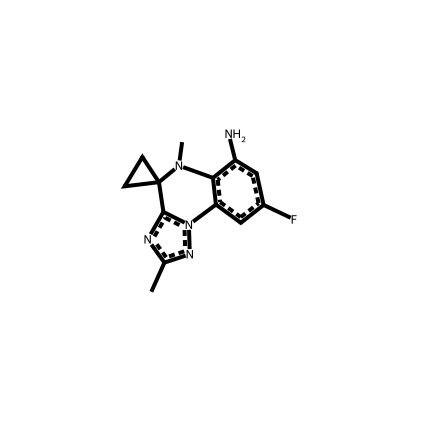 Cc1nc2n(n1)-c1cc(F)cc(N)c1N(C)C21CC1